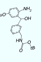 CC(C)COc1ccc(N)c(C(O)c2cccc(CNC(=O)OC(C)(C)C)c2)c1